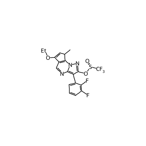 CCOC1=CC(C)c2c1cnc1c(-c3cccc(F)c3F)c(OS(=O)C(F)(F)F)nn21